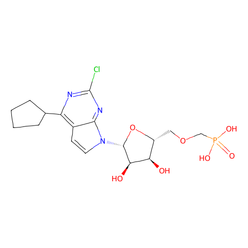 O=P(O)(O)COC[C@H]1O[C@@H](n2ccc3c(C4CCCC4)nc(Cl)nc32)[C@H](O)[C@@H]1O